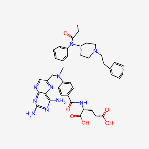 CCC(=O)N(c1ccccc1)C1CCN(CCc2ccccc2)CC1.CN(Cc1cnc2nc(N)nc(N)c2n1)c1ccc(C(=O)N[C@@H](CCC(=O)O)C(=O)O)cc1